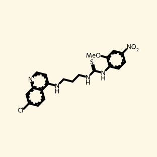 COc1cc([N+](=O)[O-])ccc1NC(=S)NCCCNc1ccnc2cc(Cl)ccc12